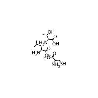 CC(C)C[C@H](N)C(=O)O.C[C@@H](O)[C@H](N)C(=O)O.N[C@@H](CS)C(=O)O